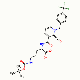 CC(C)(C)OC(=O)NCCCC(NC(=O)C1=CC=CN(Cc2ccc(C(F)(F)F)cc2)C1=C=O)C(=O)O